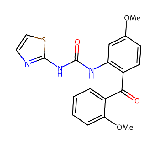 COc1ccc(C(=O)c2ccccc2OC)c(NC(=O)Nc2nccs2)c1